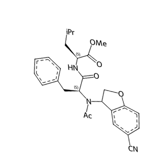 COC(=O)[C@H](CC(C)C)NC(=O)[C@H](Cc1ccccc1)N(C(C)=O)C1COc2ccc(C#N)cc21